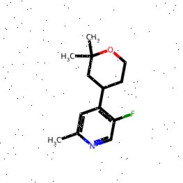 Cc1cc(C2CCOC(C)(C)C2)c(F)cn1